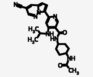 CC(=O)NC1CCC(NC(=O)c2cnc(-c3ccc4cc(C#N)cnn34)cc2NC(C)C)CC1